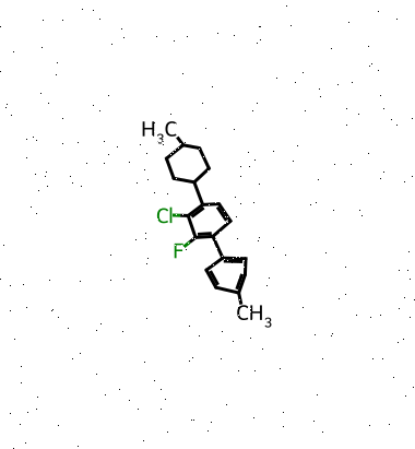 Cc1ccc(-c2ccc(C3CCC(C)CC3)c(Cl)c2F)cc1